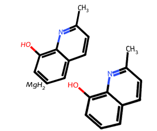 Cc1ccc2cccc(O)c2n1.Cc1ccc2cccc(O)c2n1.[MgH2]